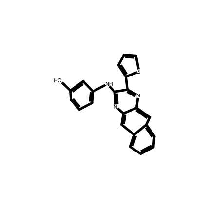 Oc1cccc(Nc2nc3cc4ccccc4cc3nc2-c2cccs2)c1